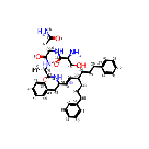 CC(C)[C@H](NC(=O)[C@H](CC(N)=O)NC(=O)C(N)CO)C(=O)NC(/C=C/C(CCCc1ccccc1)CCCc1ccccc1)Cc1ccccc1